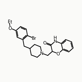 CCOc1ccc(Br)c(CC2CCN(CC3Oc4ccccc4NC3=O)CC2)c1